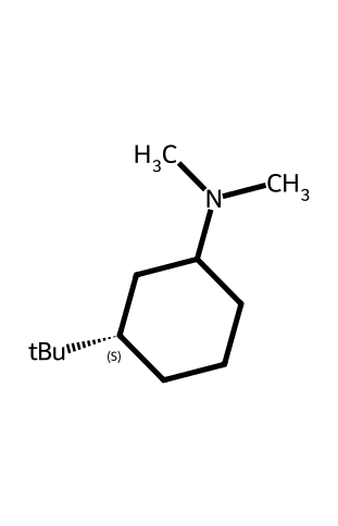 CN(C)C1CCC[C@H](C(C)(C)C)C1